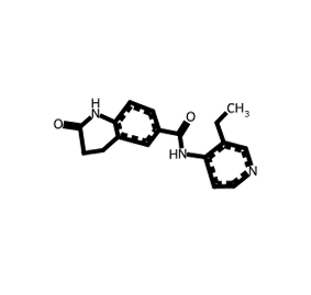 CCc1cnccc1NC(=O)c1ccc2c(c1)CCC(=O)N2